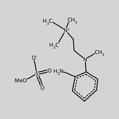 CN(CC[N+](C)(C)C)c1ccccc1N.COS(=O)(=O)[O-]